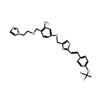 Cc1cc(OCc2csc(/C=C/c3ccc(OC(F)(F)F)cc3)n2)ccc1COCCn1ccnn1